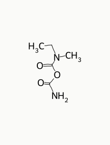 CCN(C)C(=O)OC(N)=O